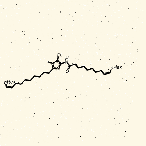 CCCCCC/C=C\CCCCCCCCc1nc(NC(=O)CCCCCCC/C=C\CCCCCC)c(CC)n1C